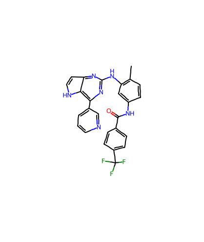 Cc1ccc(NC(=O)c2ccc(C(F)(F)F)cc2)cc1Nc1nc(-c2cccnc2)c2[nH]ccc2n1